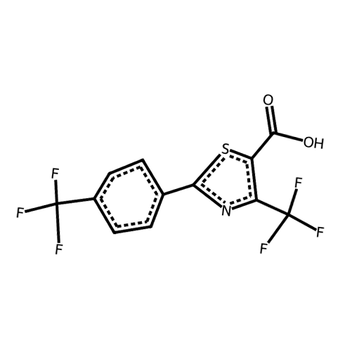 O=C(O)c1sc(-c2ccc(C(F)(F)F)cc2)nc1C(F)(F)F